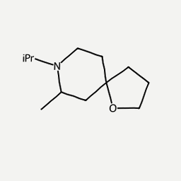 CC(C)N1CCC2(CCCO2)CC1C